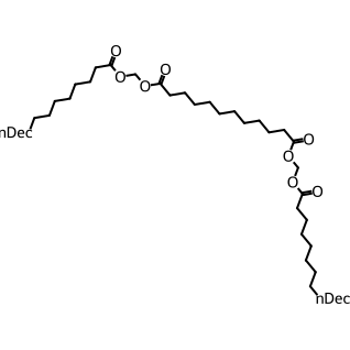 CCCCCCCCCCCCCCCCCC(=O)OCOC(=O)CCCCCCCCCCC(=O)OCOC(=O)CCCCCCCCCCCCCCCCC